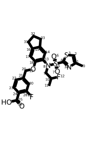 Cc1csc(S(=O)(=O)N(CC(C)F)c2cc3c(cc2OCc2ccc(C(=O)O)c(F)c2)CCC3)n1